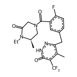 CCN1C(=O)CN(C(=O)c2cc(Cc3n[nH]c(=O)c(C(F)(F)F)c3C)ccc2F)C[C@H]1C